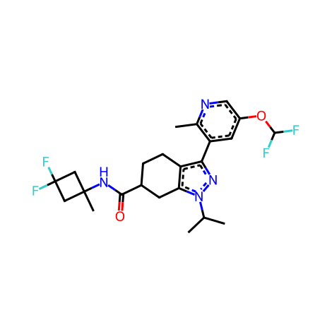 Cc1ncc(OC(F)F)cc1-c1nn(C(C)C)c2c1CCC(C(=O)NC1(C)CC(F)(F)C1)C2